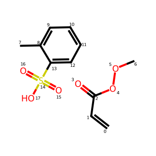 C=CC(=O)OOC.Cc1ccccc1S(=O)(=O)O